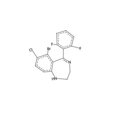 Fc1cccc(F)c1C1=NCCNc2ccc(Cl)c(Br)c21